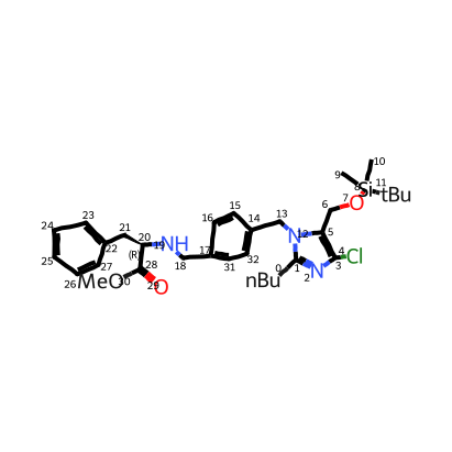 CCCCc1nc(Cl)c(CO[Si](C)(C)C(C)(C)C)n1Cc1ccc(CN[C@H](Cc2ccccc2)C(=O)OC)cc1